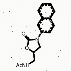 CC(=O)NCC1CN(c2ccc3ccccc3c2)C(=O)O1